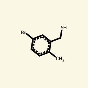 Cc1ccc(Br)cc1CS